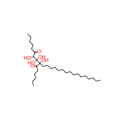 CCCCCCCCCCCCCCCCC(O)(C(=O)CCCCC)C(O)(O)C(O)C(=O)CCCCC